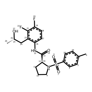 Cc1ccc(S(=O)(=O)N2CCC[C@H]2C(=O)Nc2ccc(F)c(F)c2C[C@H](C)O)cc1